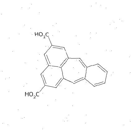 O=C(O)c1cc2c3c(cc(C(=O)O)cc3c1)C=c1ccccc1=C2